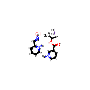 CC(OC(=O)c1ccc[n+](C)c1)C(C)(C)C.C[n+]1ccccc1C=NO.[I-].[I-]